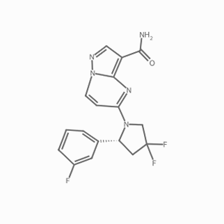 NC(=O)c1cnn2ccc(N3CC(F)(F)C[C@@H]3c3cccc(F)c3)nc12